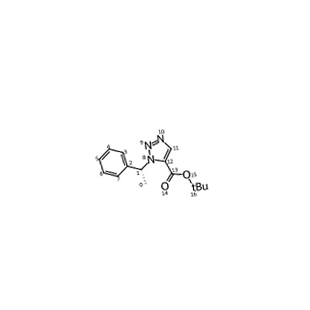 C[C@H](c1ccccc1)n1nncc1C(=O)OC(C)(C)C